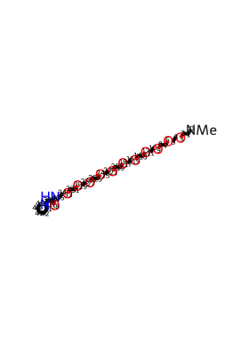 CNCCOCCOCCOCCOCCOCCOCCOCCOCCOCCOCCOCCNC(=O)CN1CCCCC1